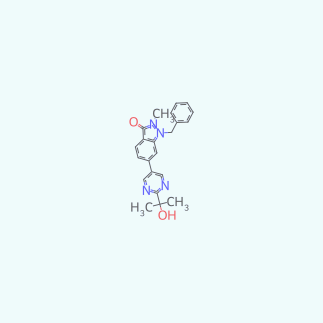 Cn1c(=O)c2ccc(-c3cnc(C(C)(C)O)nc3)cc2n1Cc1ccccc1